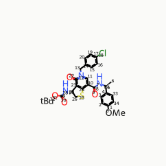 COc1ccc([C@H](C)NC(=O)c2cn(Cc3ccc(Cl)cc3)c(=O)c3c2SC[C@@H]3NC(=O)OC(C)(C)C)cc1